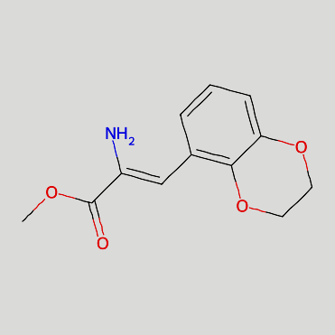 COC(=O)/C(N)=C/c1cccc2c1OCCO2